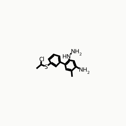 Cc1cc(-c2cccc(SC(C)Cl)c2)c(NN)cc1N